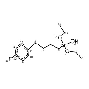 CCO[Si](O)(CCCCc1ccc(F)cc1)OCC